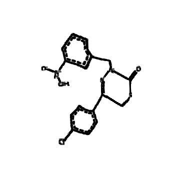 O=C1SCC(c2ccc(Cl)cc2)=NN1Cc1cccc([NH+]([O-])O)c1